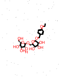 CCOc1ccc(CO[C@H]2O[C@H](CO[C@@H]3O[C@H](CO)[C@@H](O)[C@H](O)[C@H]3O)[C@@H](O)[C@H](O)[C@H]2O)cc1